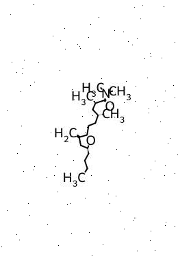 C=C1C[C@H](CCCC)OC1CC[C@@H](C)C[C@@H](C)C(=O)N(C)C